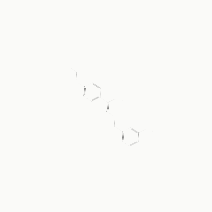 C/C(=N\OCc1cccc(C(F)(F)F)c1)c1ccc(OCC(=O)O)cc1